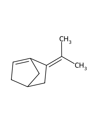 CC(C)=C1CC2CC=C1C2